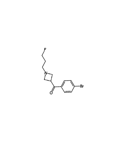 O=C(c1ccc(Br)cc1)C1CN(CCCF)C1